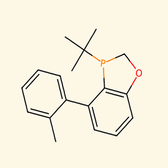 Cc1ccccc1-c1cccc2c1P(C(C)(C)C)CO2